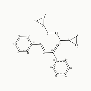 C(OCC1CO1)C1CO1.O=C(C=Cc1ccccc1)c1ccccc1